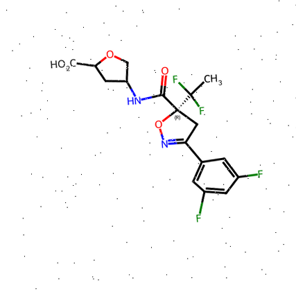 CC(F)(F)[C@]1(C(=O)NC2COC(C(=O)O)C2)CC(c2cc(F)cc(F)c2)=NO1